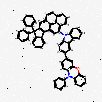 c1ccc(N2c3ccccc3Oc3cc(-c4ccc5c(c4)c4ccccc4n5-c4cc5c6c(cc7ccc8cccc4c8c75)C(c4ccccc4)(c4ccccc4)c4ccccc4-6)ccc32)cc1